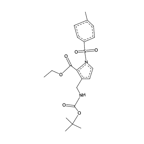 CCOC(=O)c1c(CNC(=O)OC(C)(C)C)ccn1S(=O)(=O)c1ccc(C)cc1